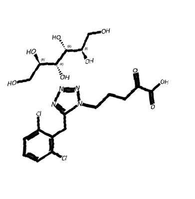 O=C(O)C(=O)CCCn1nnnc1Cc1c(Cl)cccc1Cl.OC[C@@H](O)[C@@H](O)[C@H](O)[C@H](O)CO